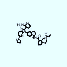 C=CC(=O)N1CCc2cccc(C(=O)N[C@H]3CCc4cc(-n5c(-c6cccnc6N)nc6ccc(-n7cccn7)nc65)ccc43)c2C1